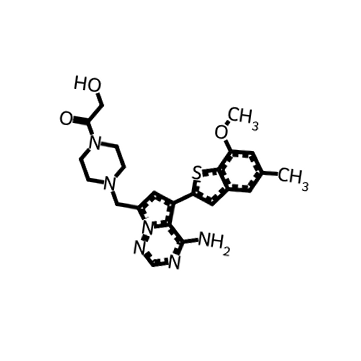 COc1cc(C)cc2cc(-c3cc(CN4CCN(C(=O)CO)CC4)n4ncnc(N)c34)sc12